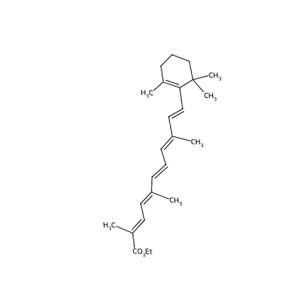 CCOC(=O)/C(C)=C/C=C(C)/C=C/C=C(C)/C=C/C1=C(C)CCCC1(C)C